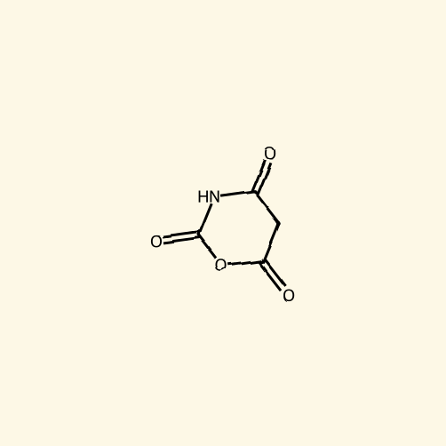 O=C1CC(=O)OC(=O)N1